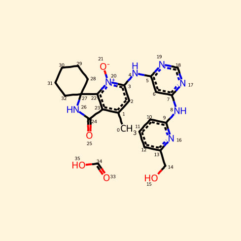 Cc1cc(Nc2cc(Nc3cccc(CO)n3)ncn2)[n+]([O-])c2c1C(=O)NC21CCCCC1.O=CO